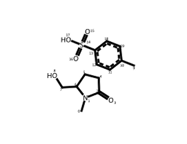 CN1C(=O)CCC1CO.Cc1ccc(S(=O)(=O)O)cc1